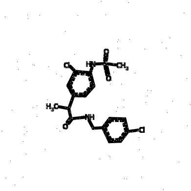 CC(C(=O)NCc1ccc(Cl)cc1)c1ccc(NS(C)(=O)=O)c(Cl)c1